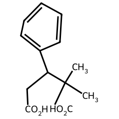 CC(C)(C(=O)O)C(CC(=O)O)c1ccccc1